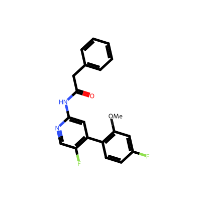 COc1cc(F)ccc1-c1cc(NC(=O)Cc2ccccc2)ncc1F